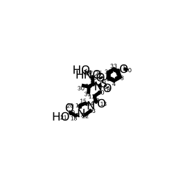 COc1ccc(S(=O)(=O)N(CCC(=O)N2CCN(CC(=O)O)CC2)C(C(=O)NO)C(C)C)cc1